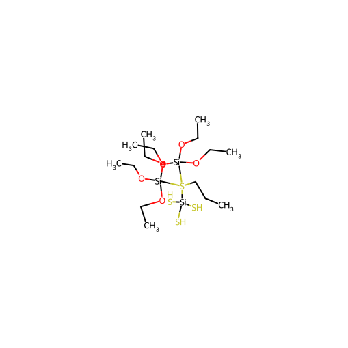 CCCS([Si](S)(S)S)([Si](OCC)(OCC)OCC)[Si](OCC)(OCC)OCC